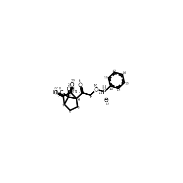 CC1(C)C2CCC1(C(=O)CO[PH](=O)c1ccccc1)C(=O)C2=O